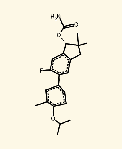 Cc1cc(-c2cc3c(cc2F)[C@H](OC(N)=O)C(C)(C)C3)ccc1OC(C)C